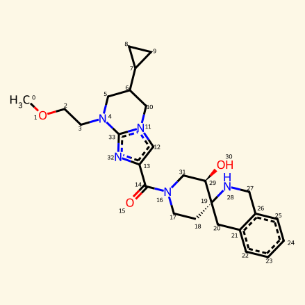 COCCN1CC(C2CC2)Cn2cc(C(=O)N3CC[C@]4(Cc5ccccc5CN4)[C@H](O)C3)nc21